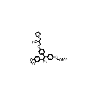 CCC(=C(c1ccc(OCOC)cc1)c1ccc(OCC(O)CN2CCCC2)cc1)c1ccc2c(c1)OCO2